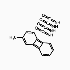 Cc1ccc2c(c1)=c1ccccc1=2.N=C=O.N=C=O.N=C=O.N=C=O